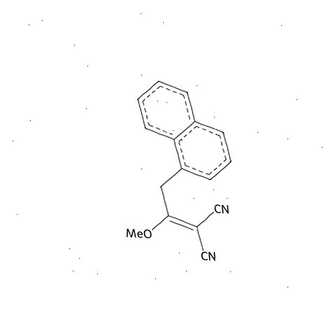 COC(Cc1cccc2ccccc12)=C(C#N)C#N